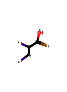 OC(=S)C(I)CI